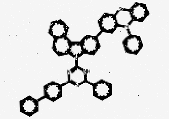 c1ccc(-c2ccc(C3=NC(c4ccccc4)NC(n4c5ccc(-c6ccc7c(c6)N(c6ccccc6)c6ccccc6S7)cc5c5c6ccccc6ccc54)=N3)cc2)cc1